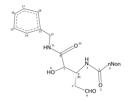 CCCCCCCCCC(=O)N[C@H](CC=O)C(O)C(=O)NCc1ccccc1